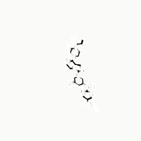 C=CC(=O)N1[C@H](C)CN(c2nccn3c(N4C[C@H](F)C[C@@H](Nc5ncc(C(F)(F)F)cn5)C4)ncc23)C[C@@H]1C